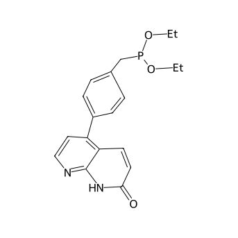 CCOP(Cc1ccc(-c2ccnc3[nH]c(=O)ccc23)cc1)OCC